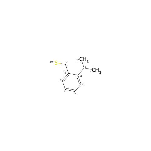 CC(C)c1ccccc1C[S]